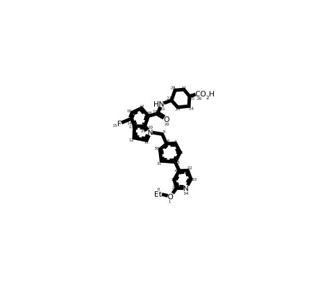 CCOc1cc(-c2ccc(Cn3ccc4c(F)ccc(C(=O)NC5CCC(C(=O)O)CC5)c43)cc2)ccn1